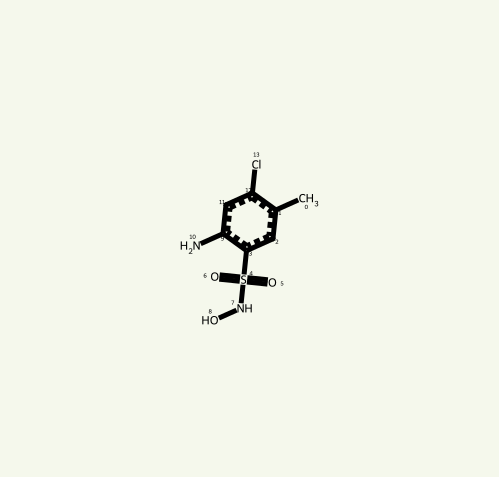 Cc1cc(S(=O)(=O)NO)c(N)cc1Cl